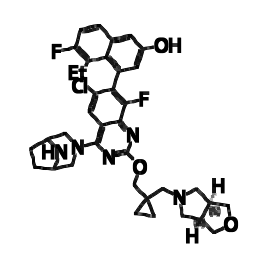 CCc1c(F)ccc2cc(O)cc(-c3c(Cl)cc4c(N5CC6CCC(C5)N6)nc(OCC5(CN6C[C@H]7COC[C@H]7C6)CC5)nc4c3F)c12